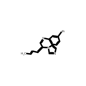 C/C=C/C=C(\C=N/c1cccc(C(C)C)c1)n1ccnc1